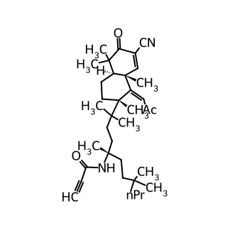 C#CC(=O)N[C@@](C)(CCC(C)(C)CCC)CCC(C)(C)[C@]1(C)CC[C@H]2C(C)(C)C(=O)C(C#N)=C[C@]2(C)/C1=C/C(C)=O